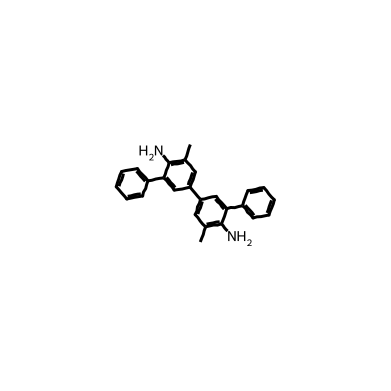 Cc1cc(-c2cc(C)c(N)c(-c3ccccc3)c2)cc(-c2ccccc2)c1N